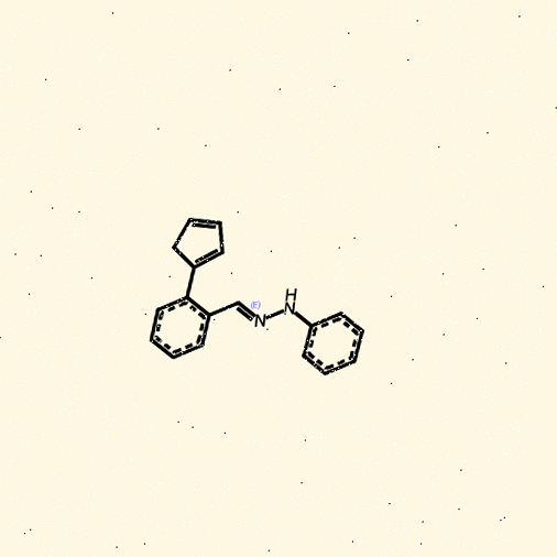 C1=CCC(c2ccccc2/C=N/Nc2ccccc2)=C1